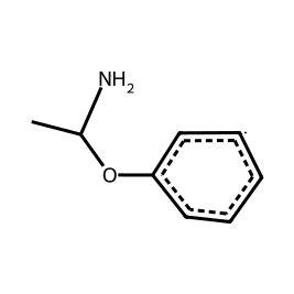 CC(N)Oc1c[c]ccc1